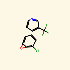 Clc1cccc2c1O2.FC(F)(F)c1cccnc1